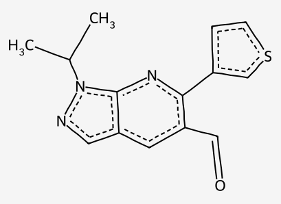 CC(C)n1ncc2cc(C=O)c(-c3ccsc3)nc21